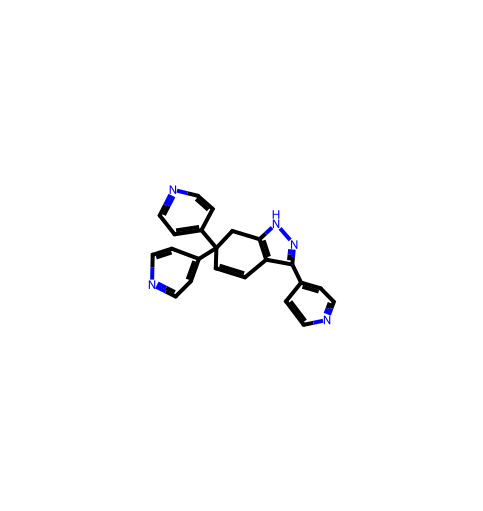 C1=CC(c2ccncc2)(c2ccncc2)Cc2[nH]nc(-c3ccncc3)c21